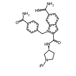 CC(C)N1CC[C@H](NC(=O)c2cc3ccc(C(=N)N)cc3n2Cc2ccc(C(N)=O)cc2)C1